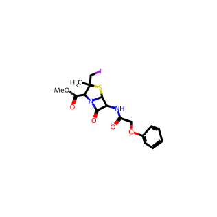 COC(=O)C1N2C(=O)C(NC(=O)COc3ccccc3)C2SC1(C)CI